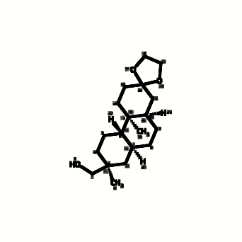 C[C@]1(CO)CC[C@H]2[C@@H](CC[C@@H]3CC4(CC[C@@]32C)OCCO4)C1